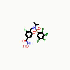 CC(C)N(Cc1ccc(C(=O)NO)cc1F)S(=O)(=O)c1cc(F)c(F)c(F)c1F